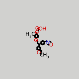 Cc1cc2cc(/C(=C/COc3ccc(OCC(=O)O)c(C)c3)c3ccc(CN4CCOCC4)cc3)ccc2o1